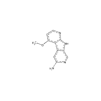 COc1ccnc2[nH]c3cnc(N)cc3c12